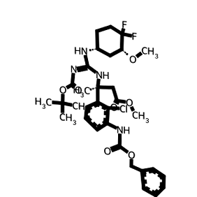 COC(=O)C[C@](C)(N/C(=N\C(=O)OC(C)(C)C)N[C@@H]1CCC(F)(F)[C@H](OC)C1)c1cccc(NC(=O)OCc2ccccc2)c1Cl